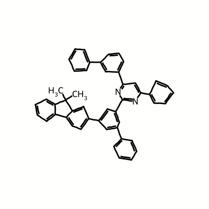 CC1(C)c2ccccc2-c2ccc(-c3cc(-c4ccccc4)cc(-c4nc(-c5ccccc5)cc(-c5cccc(-c6ccccc6)c5)n4)c3)cc21